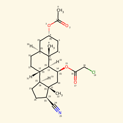 CC(=O)O[C@@H]1CC[C@@]2(C)[C@@H](CC[C@@H]3[C@@H]2[C@@H](OC(=O)CCl)C[C@]2(C)[C@@H](C#N)CC[C@@H]32)C1